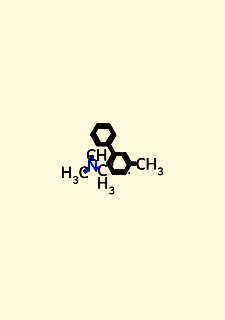 CN(C)C.Cc1[c]ccc(-c2ccccc2)c1